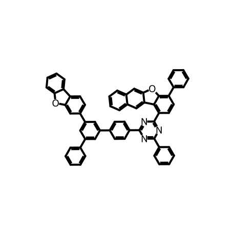 c1ccc(-c2cc(-c3ccc(-c4nc(-c5ccccc5)nc(-c5ccc(-c6ccccc6)c6oc7cc8ccccc8cc7c56)n4)cc3)cc(-c3ccc4c(c3)oc3ccccc34)c2)cc1